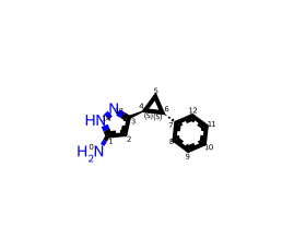 Nc1cc([C@H]2C[C@@H]2c2ccccc2)n[nH]1